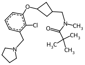 CN(CC1CC(Oc2cccc(CN3CCCC3)c2Cl)C1)C(=O)C(C)(C)C